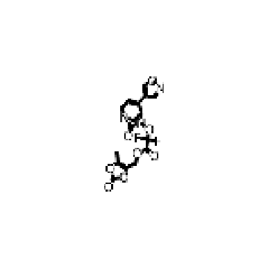 Cc1oc(=O)oc1COC(=O)C(F)(F)ON1C(=O)N2CC=C(c3cnoc3)C1C2